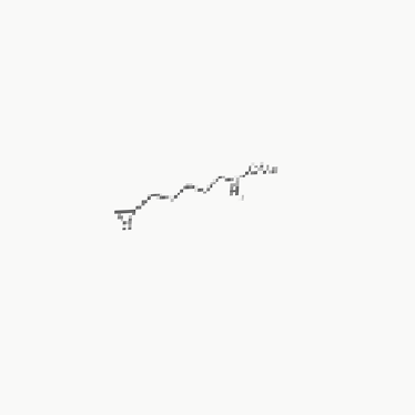 CO[SiH2]CCCCCC1CO1